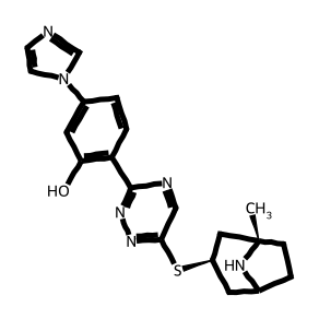 C[C@]12CCC(C[C@@H](Sc3cnc(-c4ccc(-n5ccnc5)cc4O)nn3)C1)N2